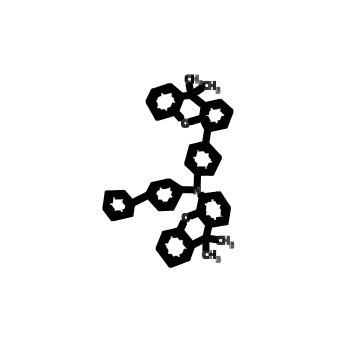 CC1(C)c2ccccc2Oc2c(-c3ccc(N(c4ccc(-c5ccccc5)cc4)c4cccc5c4Oc4ccccc4C5(C)C)cc3)cccc21